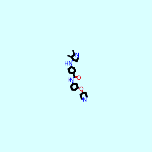 Cc1nccc(Nc2ccc(C(=O)N(I)c3cccc(Oc4ccncc4)c3)cc2)c1C